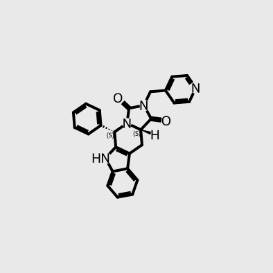 O=C1[C@@H]2Cc3c([nH]c4ccccc34)[C@H](c3ccccc3)N2C(=O)N1Cc1ccncc1